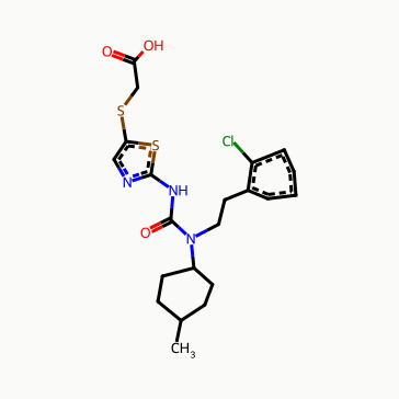 CC1CCC(N(CCc2ccccc2Cl)C(=O)Nc2ncc(SCC(=O)O)s2)CC1